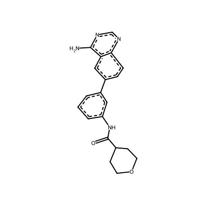 Nc1ncnc2ccc(-c3cccc(NC(=O)C4CCOCC4)c3)cc12